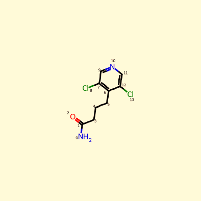 NC(=O)C[CH]Cc1c(Cl)cncc1Cl